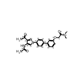 CN(C)C(=O)COc1cccc(-c2ccc(-n3cc(NC(N)=O)c(C(N)=O)n3)cc2)c1